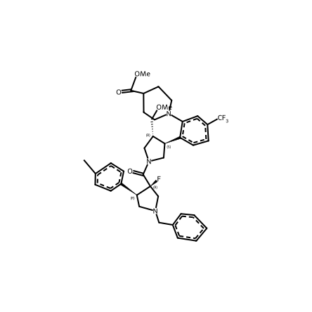 COC[C@H]1CN(C(=O)[C@]2(F)CN(Cc3ccccc3)C[C@H]2c2ccc(C)cc2)C[C@@H]1c1ccc(C(F)(F)F)cc1N1CCC(C(=O)OC)CC1